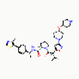 Cc1ncsc1-c1ccc(C(C)NC(=O)[C@@H]2CCCN2C(=O)[C@@H](c2cc(N3CCC(OC4CCNCC4)CC3)no2)C(C)C)cc1